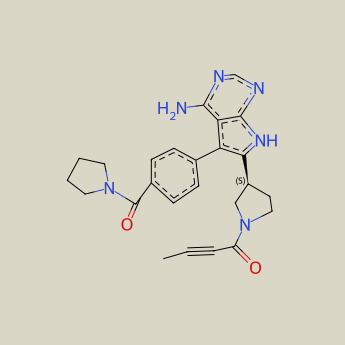 CC#CC(=O)N1CC[C@H](c2[nH]c3ncnc(N)c3c2-c2ccc(C(=O)N3CCCC3)cc2)C1